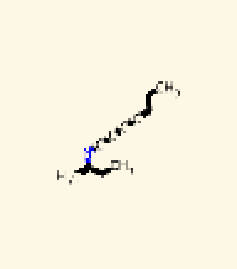 C=C(CC)N=C=C=C=C=CCC